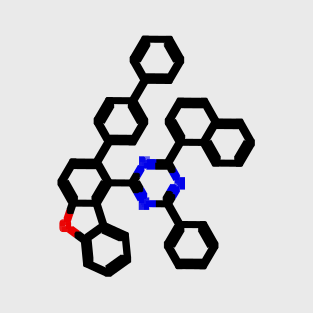 c1ccc(-c2ccc(-c3ccc4oc5ccccc5c4c3-c3nc(-c4ccccc4)nc(-c4cccc5ccccc45)n3)cc2)cc1